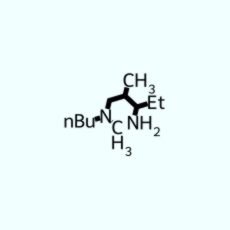 CCCCN(C)CC(C)C(N)CC